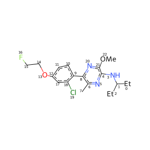 CCC(CC)Nc1nc(C)c(-c2ccc(OCCF)cc2Cl)nc1OC